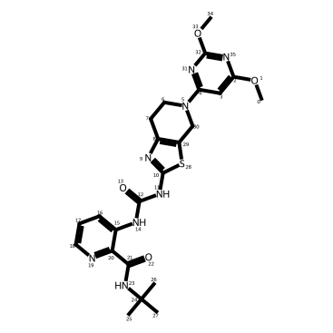 COc1cc(N2CCc3nc(NC(=O)Nc4cccnc4C(=O)NC(C)(C)C)sc3C2)nc(OC)n1